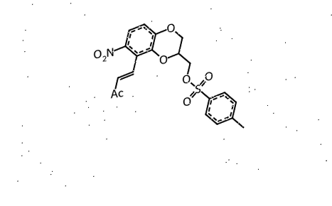 CC(=O)/C=C/c1c([N+](=O)[O-])ccc2c1OC(COS(=O)(=O)c1ccc(C)cc1)CO2